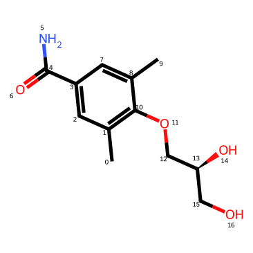 Cc1cc(C(N)=O)cc(C)c1OC[C@@H](O)CO